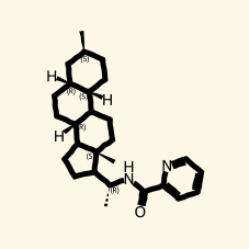 C[C@H]1CC[C@@H]2C3CC[C@@]4(C)C(CCC4[C@@H](C)NC(=O)c4ccccn4)[C@@H]3CC[C@@H]2C1